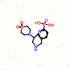 O=P(O)(O)c1ccc2c(n1)C(N1CCS(=O)(=O)CC1)CNC2